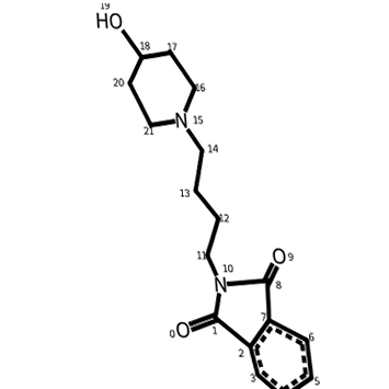 O=C1c2ccccc2C(=O)N1CCCCN1CCC(O)CC1